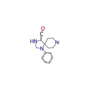 O=C=C1NCN(c2ccccc2)C12CC[N]CC2